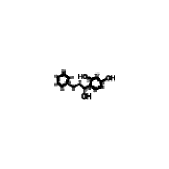 Oc1ccc(C(O)CCc2ccccc2)c(O)c1